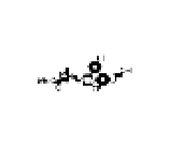 COC(=O)c1cn(CCN2CCN(c3ccc(OCCO)cc3Cl)[C@H](c3ccc(Cl)cc3)C2)c(C)n1